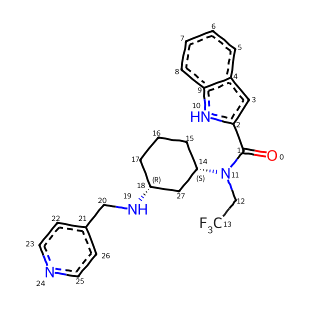 O=C(c1cc2ccccc2[nH]1)N(CC(F)(F)F)[C@H]1CCC[C@@H](NCc2ccncc2)C1